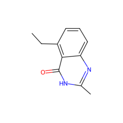 CCc1cccc2nc(C)[nH]c(=O)c12